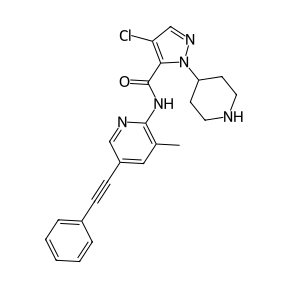 Cc1cc(C#Cc2ccccc2)cnc1NC(=O)c1c(Cl)cnn1C1CCNCC1